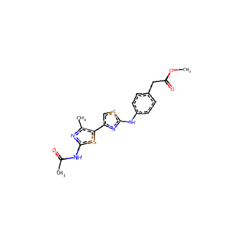 COC(=O)Cc1ccc(Nc2nc(-c3sc(NC(C)=O)nc3C)cs2)cc1